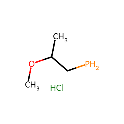 COC(C)CP.Cl